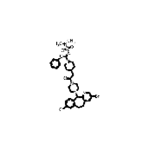 CN(C)S(=O)(=O)/N=C(\Oc1ccccc1)N1CCC(CC(=O)N2CCN(C3c4ccc(Cl)cc4CCc4cc(Br)cnc43)CC2)CC1